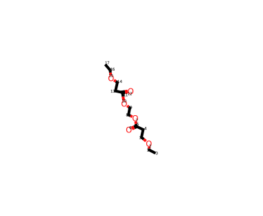 CCOCCC(=O)OCCOC(=O)CCOCC